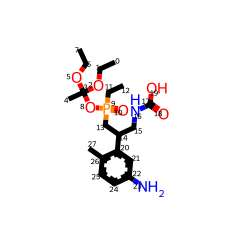 CCOC(C)(OCC)OP(=O)(CC)CC(CNC(=O)O)c1cc(N)ccc1C